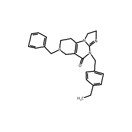 CCc1ccc(CN2C(=O)C3=C(CCN(Cc4ccccc4)C3)N3CCN=C23)cc1